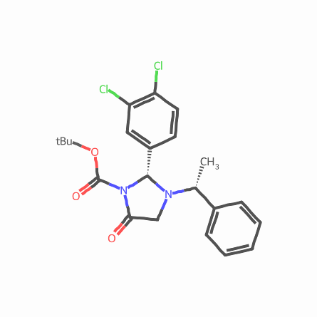 C[C@H](c1ccccc1)N1CC(=O)N(C(=O)OC(C)(C)C)[C@@H]1c1ccc(Cl)c(Cl)c1